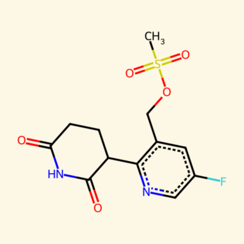 CS(=O)(=O)OCc1cc(F)cnc1C1CCC(=O)NC1=O